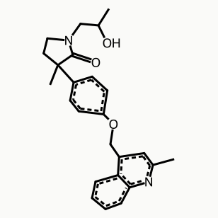 Cc1cc(COc2ccc(C3(C)CCN(CC(C)O)C3=O)cc2)c2ccccc2n1